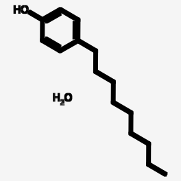 CCCCCCCCCc1ccc(O)cc1.O